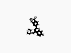 O=C1NCc2cc(-c3cc(CN4CCOCC4)c4ccc(Cl)cc4n3)ccc21